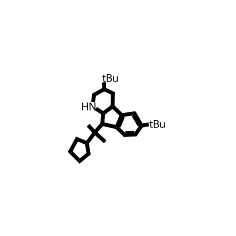 CC(C)(C)c1ccc2c(c1)C1CC(C(C)(C)C)CNC1C2C(C)(C)C1CCCC1